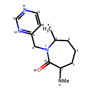 CNC1CCCC(C)N(Cc2ccncn2)C1=O